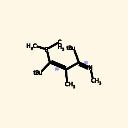 C/N=C(\C(C)=C(/B(C)C)C(C)(C)C)C(C)(C)C